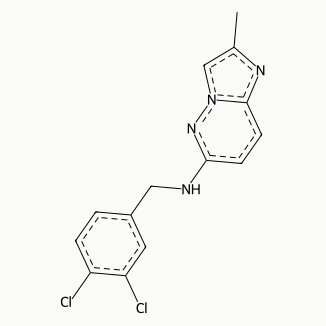 Cc1cn2nc(NCc3ccc(Cl)c(Cl)c3)ccc2n1